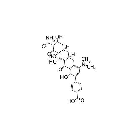 CN(C)c1cc(-c2ccc(C(=O)O)cc2)c(O)c2c1C[C@H]1C[C@H]3CC(O)C(C(N)=O)C(=O)[C@@]3(O)C(O)=C1C2=O